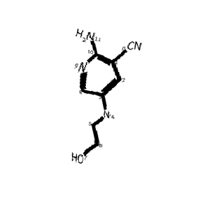 N#Cc1cc([N]CCO)cnc1N